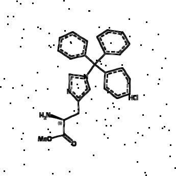 COC(=O)[C@@H](N)Cc1cn(C(c2ccccc2)(c2ccccc2)c2ccccc2)cn1.Cl